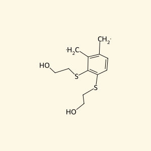 [CH2]c1ccc(SCCO)c(SCCO)c1[CH2]